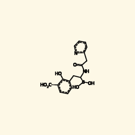 O=C(Cc1ccccn1)NC(Cc1cccc(C(=O)O)c1O)B(O)O